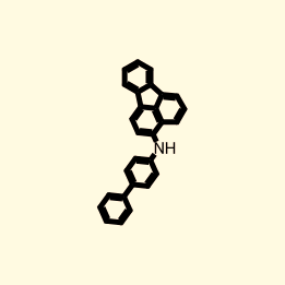 c1ccc(-c2ccc(Nc3ccc4c5c(cccc35)-c3ccccc3-4)cc2)cc1